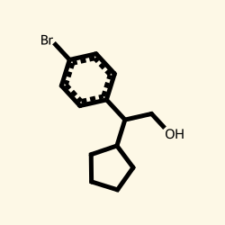 OCC(c1ccc(Br)cc1)C1CCCC1